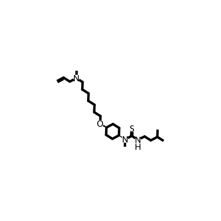 C=CCN(C)CCCCCCCO[C@H]1CC[C@H](N(C)C(=S)NCCC(C)C)CC1